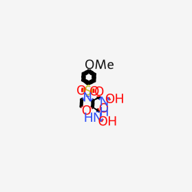 COc1ccc(S(=O)(=O)N2CCO[C@H](C(=O)NO)[C@@H]2C(=O)NO)cc1